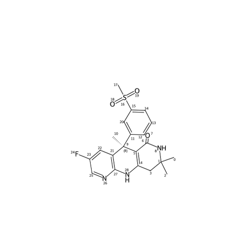 CC1(C)CC2=C(C(=O)N1)[C@](C)(c1cccc(S(C)(=O)=O)c1)c1cc(F)cnc1N2